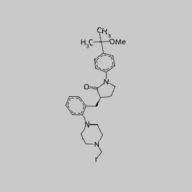 COC(C)(C)c1ccc(N2CC[C@@H](Cc3ccccc3N3CCN(CI)CC3)C2=O)cc1